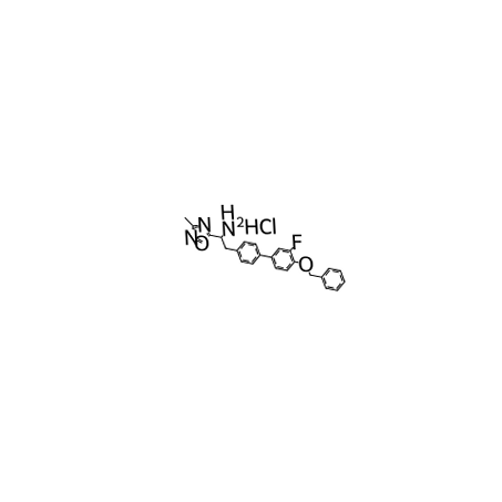 Cc1noc(C(N)Cc2ccc(-c3ccc(OCc4ccccc4)c(F)c3)cc2)n1.Cl